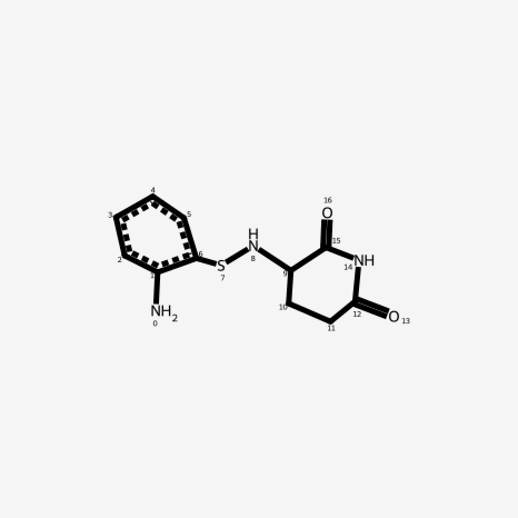 Nc1ccccc1SNC1CCC(=O)NC1=O